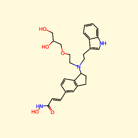 O=C(C=Cc1ccc2c(c1)CCC2N(CCOCC(O)CO)CCc1c[nH]c2ccccc12)NO